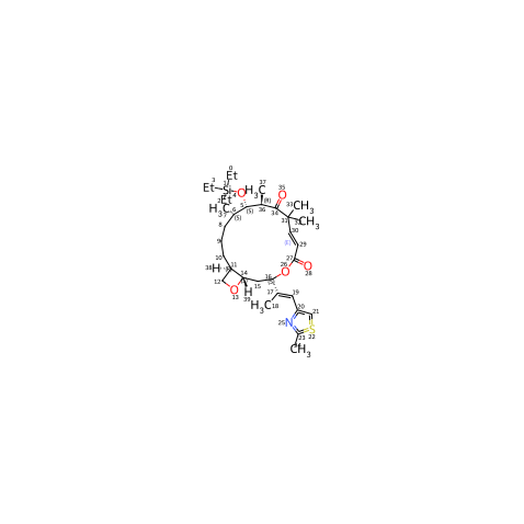 CC[Si](CC)(CC)O[C@H]1[C@@H](C)CCC[C@@H]2CO[C@H]2C[C@@H](C(C)=Cc2csc(C)n2)OC(=O)/C=C/C(C)(C)C(=O)[C@@H]1C